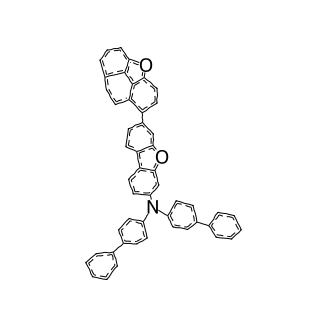 c1ccc(-c2ccc(N(c3ccc(-c4ccccc4)cc3)c3ccc4c(c3)oc3cc(-c5ccc6oc7cccc8ccc5c6c87)ccc34)cc2)cc1